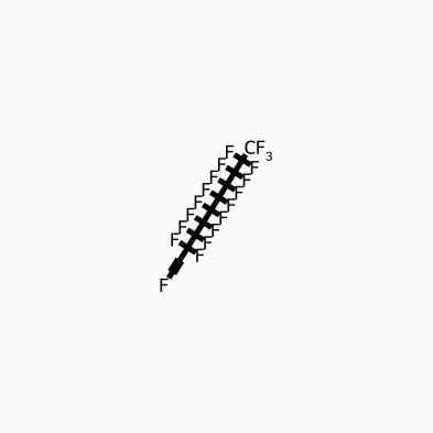 FC#CC(F)(F)C(F)(F)C(F)(F)C(F)(F)C(F)(F)C(F)(F)C(F)(F)C(F)(F)C(F)(F)F